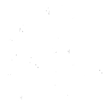 N#Cc1cccc(C(N2CCCC(O)C2)C(O)(c2cccnc2)c2cccnc2)c1